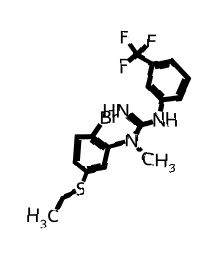 CCSc1ccc(Br)c(N(C)C(=N)Nc2cccc(C(F)(F)F)c2)c1